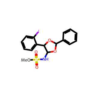 COS(=O)(=O)NC1OC(c2ccccc2)OC1c1ccccc1I